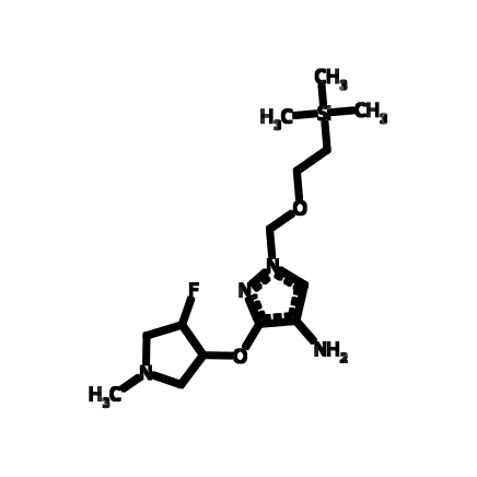 CN1CC(F)C(Oc2nn(COCC[Si](C)(C)C)cc2N)C1